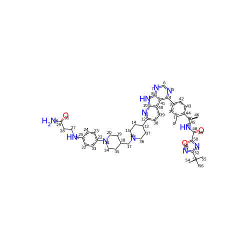 Cc1cc(-c2ncnc3[nH]c4nc(C5CCN(CC6CCN(c7ccc(NCCC(N)=O)cc7)CC6)CC5)ccc4c23)ccc1[C@@H](C)NC(=O)c1nc(C(C)(C)C)no1